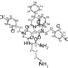 NCCCCC(NC(=O)CN(CCc1ccc(Cl)cc1Cl)C(=O)CC1C(=O)N(CCc2ccc(Cl)cc2Cl)CC(=O)N1CCC(c1ccccc1)c1ccccc1)C(N)=O